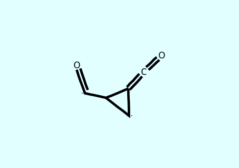 O=[C]C1[CH]C1=C=O